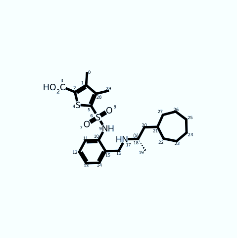 Cc1c(C(=O)O)sc(S(=O)(=O)Nc2ccccc2CN[C@@H](C)CC2CCCCCC2)c1C